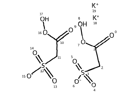 O=C(CS(=O)(=O)[O-])OO.O=C(CS(=O)(=O)[O-])OO.[K+].[K+]